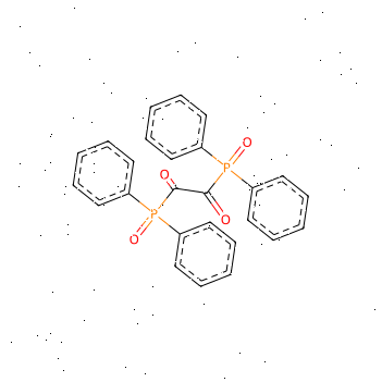 O=C(C(=O)P(=O)(c1ccccc1)c1ccccc1)P(=O)(c1ccccc1)c1ccccc1